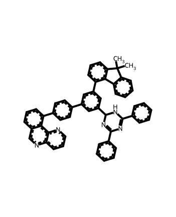 CC1(C)c2ccccc2-c2c(-c3cc(-c4ccc(-c5cccc6cnc7cccnc7c56)cc4)cc(C4N=C(c5ccccc5)N=C(c5ccccc5)N4)c3)cccc21